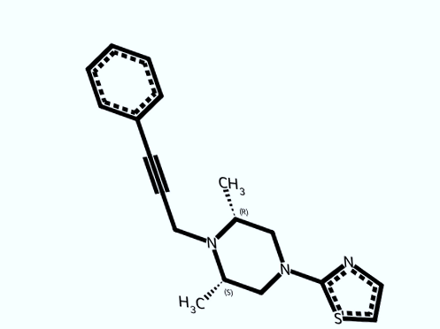 C[C@@H]1CN(c2nccs2)C[C@H](C)N1CC#Cc1ccccc1